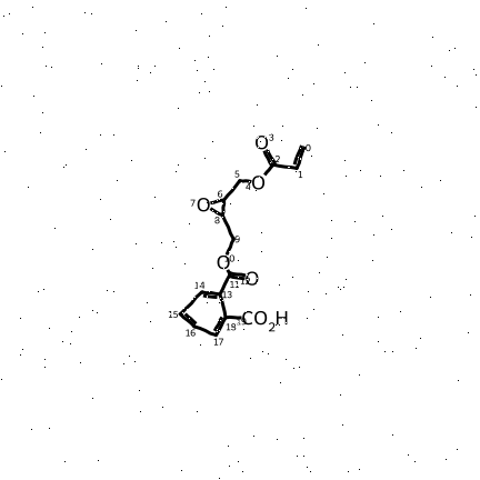 C=CC(=O)OCC1OC1COC(=O)c1ccccc1C(=O)O